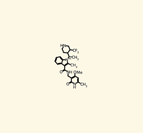 COc1cc(C)[nH]c(=O)c1CNC(=O)c1c(C)n([C@H](C)C2CCNCC2C(F)(F)F)c2ccccc12